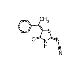 C/C(=C1\S/C(=N/C#N)NC1=O)c1ccccc1